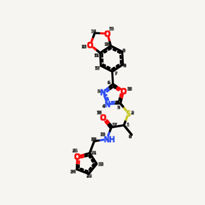 CC(Sc1nnc(-c2ccc3c(c2)OCO3)o1)C(=O)NCc1ccco1